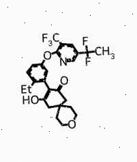 CCc1ccc(Oc2ncc(C(C)(F)F)cc2C(F)(F)F)cc1C1=C(O)CC2(CCOCC2)CC1=O